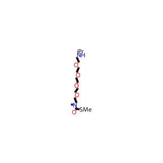 CSC(=O)N(C)CCOCCOCCOCCOCCNC(C)C